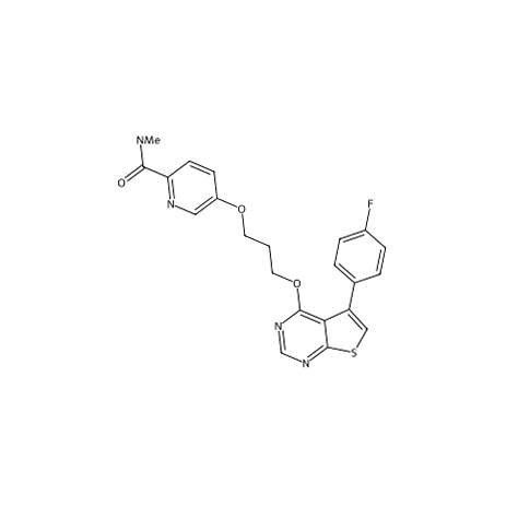 CNC(=O)c1ccc(OCCCOc2ncnc3scc(-c4ccc(F)cc4)c23)cn1